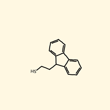 SCCC1c2ccccc2-c2ccccc21